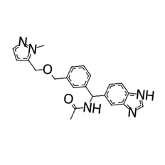 CC(=O)NC(c1cccc(COCc2ccnn2C)c1)c1ccc2[nH]cnc2c1